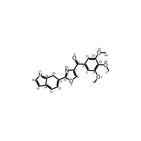 COc1cc(C(=O)c2coc(C3=CC=C4C=CN=C4C3)n2)cc(OC)c1OC